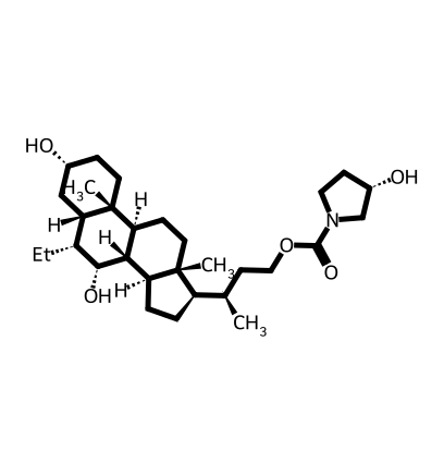 CC[C@H]1[C@@H](O)[C@@H]2[C@H](CC[C@]3(C)[C@@H]([C@H](C)CCOC(=O)N4CC[C@H](O)C4)CC[C@@H]23)[C@@]2(C)CC[C@@H](O)C[C@@H]12